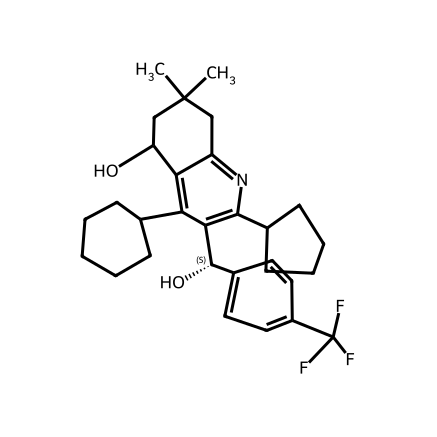 CC1(C)Cc2nc(C3CCCC3)c([C@@H](O)c3ccc(C(F)(F)F)cc3)c(C3CCCCC3)c2C(O)C1